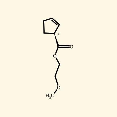 COCCOC(=O)[C@@H]1C=CCC1